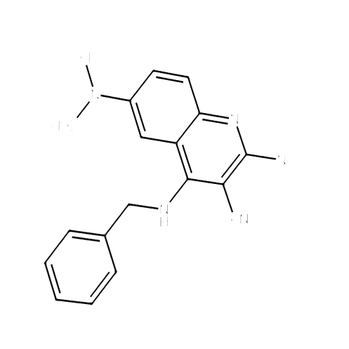 CN(C)c1ccc2nc(N)c(C#N)c(NCc3ccccc3)c2c1